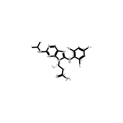 CC(C)Nc1ncc2nc(Nc3c(F)cc(F)cc3F)n([C@@H](C)CC(N)=O)c2n1